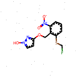 O=[N+]([O-])c1cccc(SCF)c1COc1ccn(O)n1